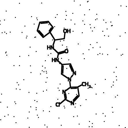 Cc1cnc(Cl)nc1-n1cc(NC(=O)NC(CO)c2ccccc2)cn1